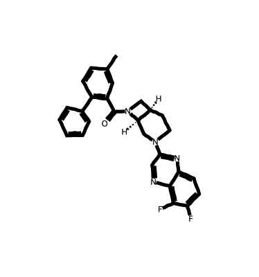 Cc1ccc(-c2ccccc2)c(C(=O)N2C[C@H]3CCN(c4cnc5c(F)c(F)ccc5n4)C[C@H]32)c1